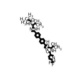 CC(C)[C@H](NC(=O)c1ccc(C(F)(F)F)nc1)c1ncc(-c2ccc(-c3ccc(-c4cnc([C@@H](NC(=O)C(C)(C)C)C(C)C)[nH]4)cc3)cc2)[nH]1